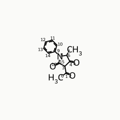 CC(=O)C1C(=O)C(C)N(c2ccccc2)C1=O